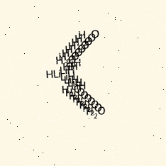 O.O.O.O.O.O.O.O.O.O.O.O.O.O.O.O.[LiH].[LiH].[LiH].[LiH].[LiH].[LiH].[LiH].[LiH]